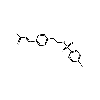 CC(=O)C=Cc1ccc(CCNS(=O)(=O)c2ccc(Cl)cc2)cc1